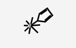 [CH3][Ti]([CH3])([CH3])([CH3])([CH3])([CH3])([CH3])[CH]1C=CC=C1